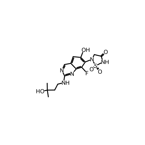 CC(C)(O)CCNc1ncc2cc(O)c(N3CC(=O)NS3(=O)=O)c(F)c2n1